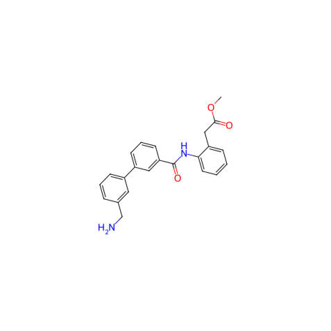 COC(=O)Cc1ccccc1NC(=O)c1cccc(-c2cccc(CN)c2)c1